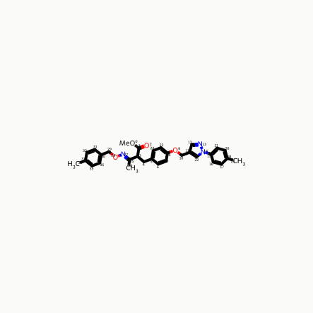 COC(=O)C(Cc1ccc(OCc2cnn(-c3ccc(C)cc3)c2)cc1)/C(C)=N/OCc1ccc(C)cc1